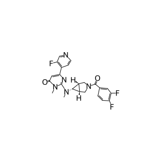 CN(c1nc(-c2ccncc2F)cc(=O)n1C)[C@@H]1[C@@H]2CN(C(=O)c3ccc(F)c(F)c3)C[C@@H]21